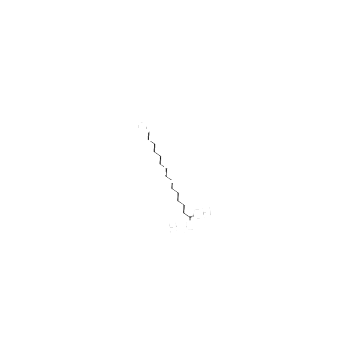 CC(C)CCCCCCCCCCCCCC[O]